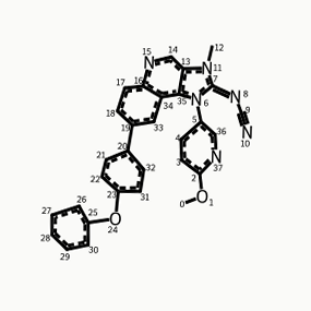 COc1ccc(-n2c(=NC#N)n(C)c3cnc4ccc(-c5ccc(Oc6ccccc6)cc5)cc4c32)cn1